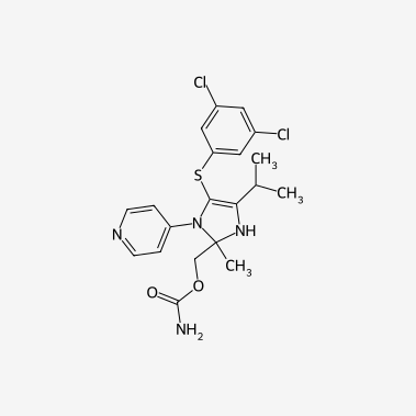 CC(C)C1=C(Sc2cc(Cl)cc(Cl)c2)N(c2ccncc2)C(C)(COC(N)=O)N1